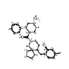 Cc1ccn(CC2CCN(C(=O)N3CC[C@@H](N)C[C@H]3c3ccccc3)CC23CCCC3)c(=O)c1